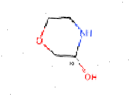 O[C@@H]1COCCN1